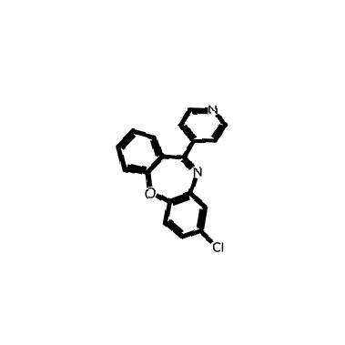 Clc1ccc2c(c1)N=C(c1ccncc1)c1ccccc1O2